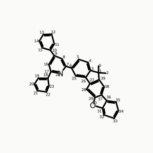 CC1(C)c2ccc(-c3cc(-c4ccccc4)cc(-c4ccccc4)n3)cc2-c2cc3oc4ccccc4c3cc21